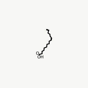 C=CCCC/C=C\CCCCCCCCC(=O)O